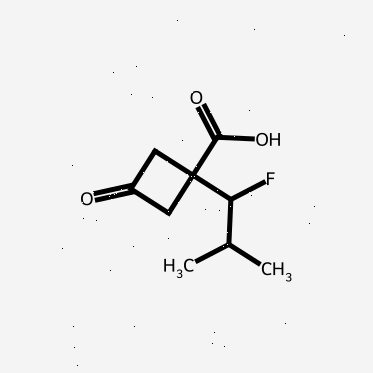 CC(C)C(F)C1(C(=O)O)CC(=O)C1